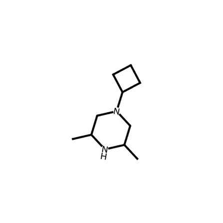 CC1CN(C2CCC2)CC(C)N1